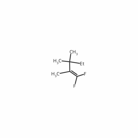 CCC(C)(C)C(C)=C(F)F